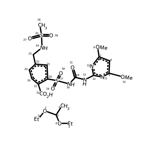 CCOC(C)OCC.COc1cc(OC)nc(NC(=O)NS(=O)(=O)c2cc(CNS(C)(=O)=O)ccc2C(=O)O)n1